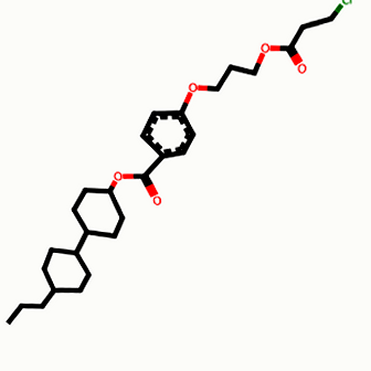 CCCC1CCC(C2CCC(OC(=O)c3ccc(OCCCOC(=O)CCCl)cc3)CC2)CC1